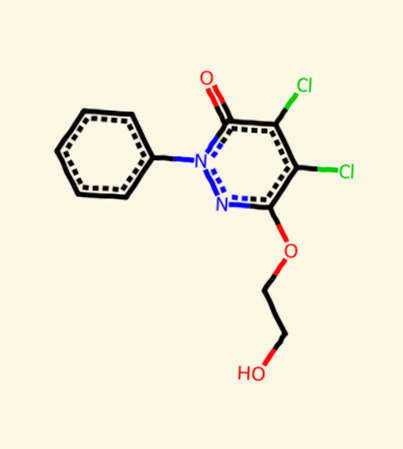 O=c1c(Cl)c(Cl)c(OCCO)nn1-c1ccccc1